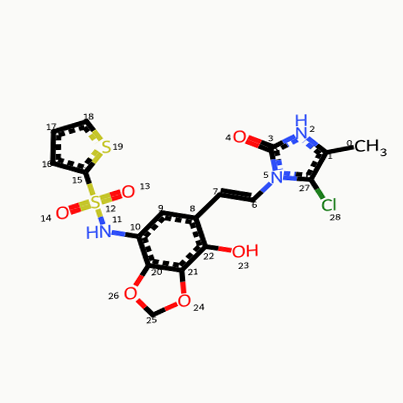 Cc1[nH]c(=O)n(C=Cc2cc(NS(=O)(=O)c3cccs3)c3c(c2O)OCO3)c1Cl